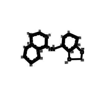 c1cc(Nc2ncnc3ccccc23)c2c(c1)OCO2